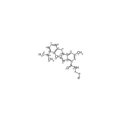 Cc1cc(C(=O)NCCF)c2ncn(Cc3ncnc(N(C)C)c3C)c2c1